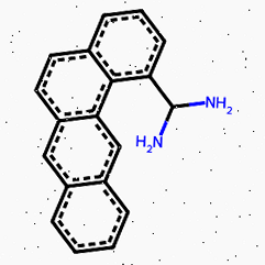 NC(N)c1cccc2ccc3cc4ccccc4cc3c12